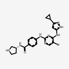 O=C(N[C@@H]1CCNC1)c1ccc(Nc2ncc(Br)c(Nc3cc(C4CC4)n[nH]3)n2)cc1